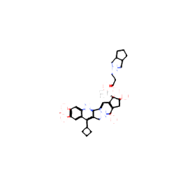 CCC1(OC(=O)CCN2CC3CCCC3C2)C(=O)Cc2c1cc1n(c2=O)Cc2c-1nc1cc3c(cc1c2C1CCC1)OCO3